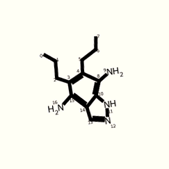 CCCc1c(CCC)c(N)c2[nH]ncc2c1N